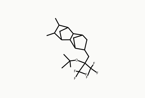 CC1C(C)C2CC1C1C3CC(CC(OC(C)(C)C)(C(F)(F)F)C(F)(F)F)C(C3)C21